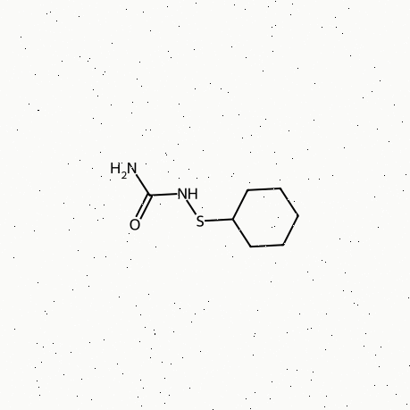 NC(=O)NSC1CCCCC1